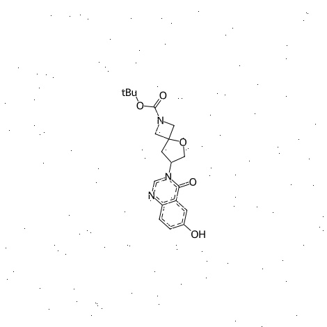 CC(C)(C)OC(=O)N1CC2(CC(n3cnc4ccc(O)cc4c3=O)CO2)C1